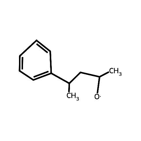 CC([O])CC(C)c1ccccc1